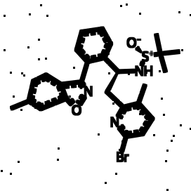 Cc1ccc2c(-c3ccccc3[C@H](Cc3nc(Br)ccc3C)N[S@@+]([O-])C(C)(C)C)noc2c1